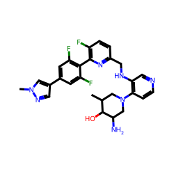 CC1CN(c2ccncc2NCc2ccc(F)c(-c3c(F)cc(-c4cnn(C)c4)cc3F)n2)CC(N)C1O